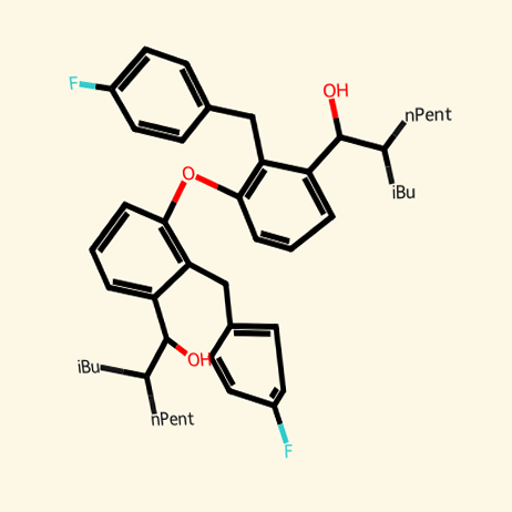 CCCCCC(C(C)CC)C(O)c1cccc(Oc2cccc(C(O)C(CCCCC)C(C)CC)c2Cc2ccc(F)cc2)c1Cc1ccc(F)cc1